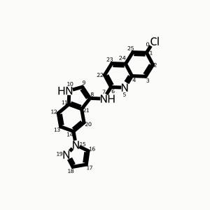 Clc1ccc2nc(Nc3c[nH]c4ccc(-n5cccn5)cc34)ccc2c1